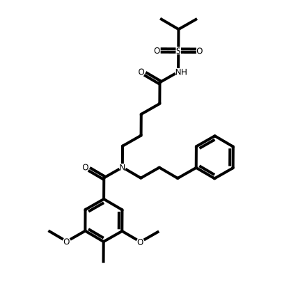 COc1cc(C(=O)N(CCCCC(=O)NS(=O)(=O)C(C)C)CCCc2ccccc2)cc(OC)c1C